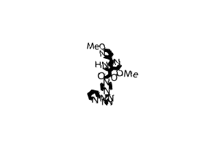 COc1ccc(-c2ncc(OC)c3c(C(=O)C(=O)N4CCN(c5nnnn5-c5ccccn5)CC4)c[nH]c23)cn1